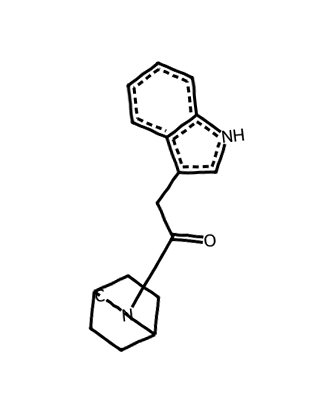 O=C(Cc1c[nH]c2ccccc12)N1CC2CCC(CC2)C1